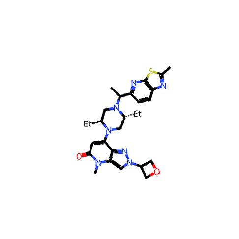 CC[C@H]1CN(C(C)c2ccc3nc(C)sc3n2)[C@H](CC)CN1c1cc(=O)n(C)c2cn(C3COC3)nc12